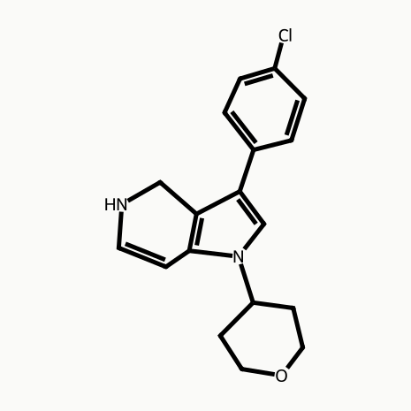 Clc1ccc(-c2cn(C3CCOCC3)c3c2CNC=C3)cc1